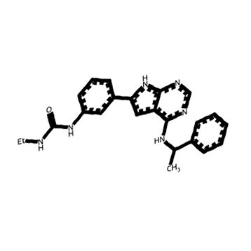 CCNC(=O)Nc1cccc(-c2cc3c(NC(C)c4ccccc4)ncnc3[nH]2)c1